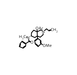 C=CCN1CCC2(c3cccc(OC)c3)C[C@H](N(C)C(=O)c3ccccc3)CCC2(OC(C)=O)C1